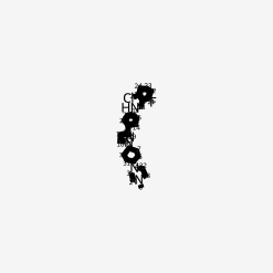 CN1CCN([C@H]2CC[C@@H](n3ccc(-c4ccc(NCc5c(F)cccc5Cl)cc4)n3)CC2)CC1